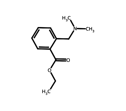 CCOC(=O)c1ccccc1CN(C)C